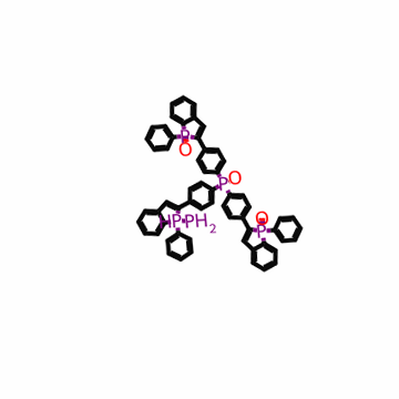 O=P1(c2ccccc2)C(c2ccc(P(=O)(c3ccc(C4=Cc5ccccc5P4(=O)c4ccccc4)cc3)c3ccc(C4=Cc5ccccc5[PH]4(P)c4ccccc4)cc3)cc2)=Cc2ccccc21